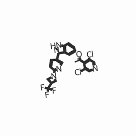 C[C@@H](Oc1ccc2[nH]nc(-c3ccc(N4CC(C(F)(F)F)C4)nc3)c2c1)c1c(Cl)cncc1Cl